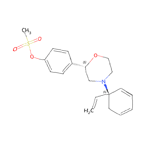 C=C[C@]1(N2CCO[C@@H](c3ccc(OS(C)(=O)=O)cc3)C2)C=CC=CC1